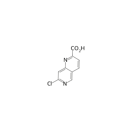 O=C(O)c1ccc2cnc(Cl)cc2n1